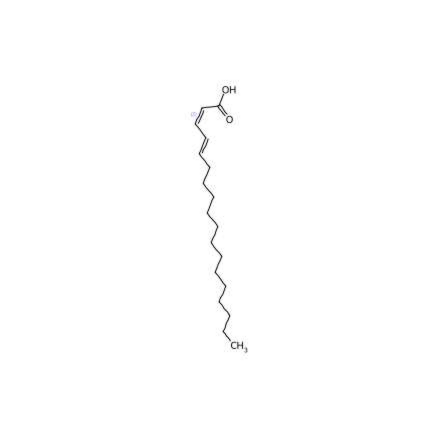 CCCCCCCCCCCCCC=C/C=C\C(=O)O